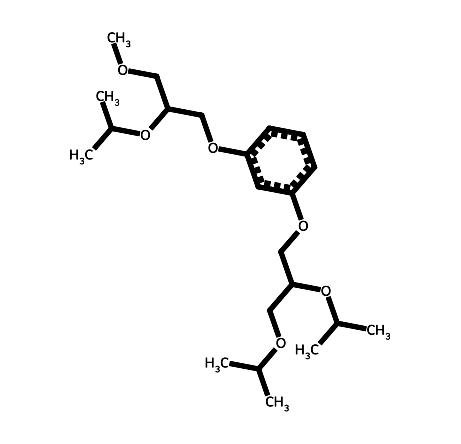 COCC(COc1cccc(OCC(COC(C)C)OC(C)C)c1)OC(C)C